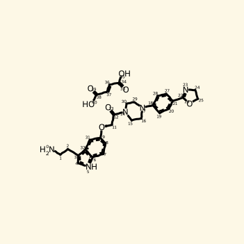 NCCc1c[nH]c2ccc(OCC(=O)N3CCN(c4ccc(C5=NCCO5)cc4)CC3)cc12.O=C(O)C=CC(=O)O